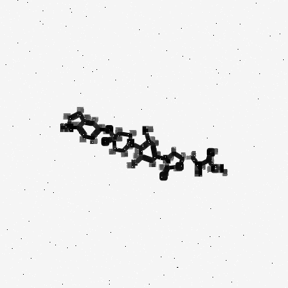 CC(=O)NC[C@H]1CN(c2cc(F)c(N3CCP(=O)(Oc4ccc5[nH]ccc5c4)CC3)c(F)c2)C(=O)O1